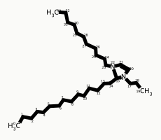 CCCCCCCCCCCCCCCC1N(CCC)C=CN1CCCCCCCCCCC